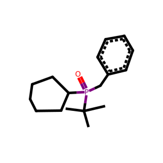 CC(C)(C)P(=O)(Cc1ccccc1)C1CCCCC1